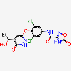 CCC(O)c1cc(Oc2c(Cl)cc(NC(=O)c3noc(=O)[nH]3)cc2Cl)n[nH]c1=O